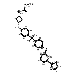 CC(C)(C)OC(=O)N[C@H]1C[C@H](Oc2ccc(C(C)(C)c3ccc(Oc4nccc(-c5nnco5)n4)cc3)cc2)C1